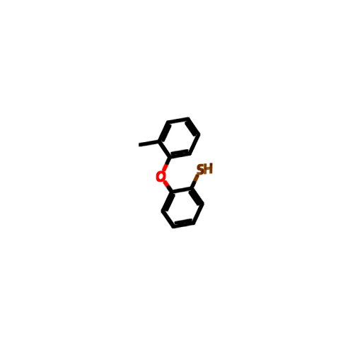 Cc1ccccc1Oc1ccccc1S